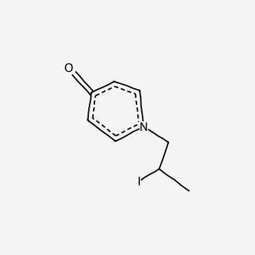 CC(I)Cn1ccc(=O)cc1